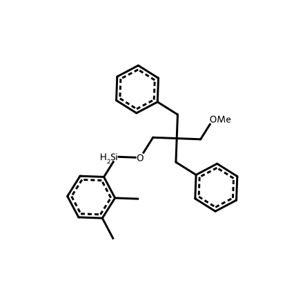 COCC(CO[SiH2]c1cccc(C)c1C)(Cc1ccccc1)Cc1ccccc1